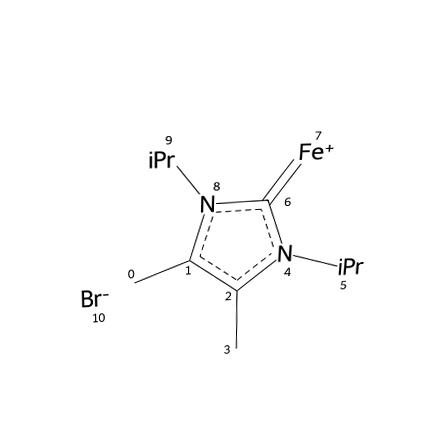 Cc1c(C)n(C(C)C)[c](=[Fe+])n1C(C)C.[Br-]